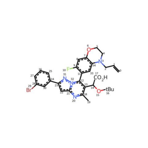 C=CCN1CCOc2cc(F)c(-c3c(C(OC(C)(C)C)C(=O)O)c(C)nc4cc(-c5cccc(Br)c5)nn34)cc21